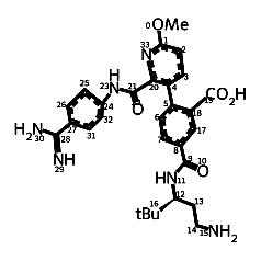 COc1ccc(-c2ccc(C(=O)N[C@@H](CCN)C(C)(C)C)cc2C(=O)O)c(C(=O)Nc2ccc(C(=N)N)cc2)n1